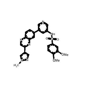 COc1ccc(S(=O)(=O)Nc2cncc(-c3ccc4ncc(-c5cnn(C)c5)nc4c3)c2)cc1OC